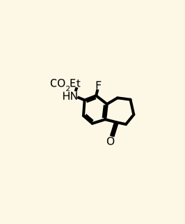 CCOC(=O)Nc1ccc2c(c1F)CCCCC2=O